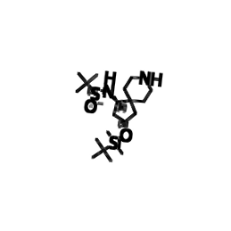 CC(C)(C)[S@@+]([O-])N[C@@H]1C[C@@H](O[Si](C)(C)C(C)(C)C)CC12CCNCC2